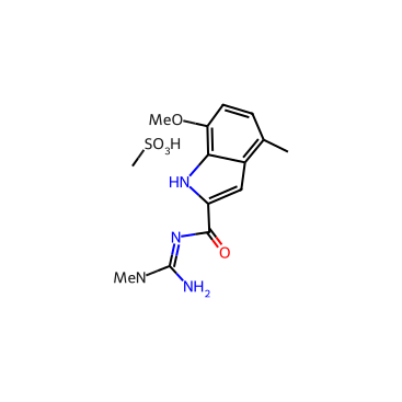 CNC(N)=NC(=O)c1cc2c(C)ccc(OC)c2[nH]1.CS(=O)(=O)O